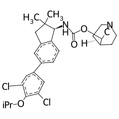 CC(C)Oc1c(Cl)cc(-c2ccc3c(c2)CC(C)(C)[C@H]3NC(=O)O[C@H]2CN3CCC2CC3)cc1Cl